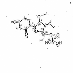 CO[C@@H]1[C@H](OC)[C@H](n2ccc(=O)[nH]c2=O)O[C@@H]1[C@@H](C)OP(=O)(O)O